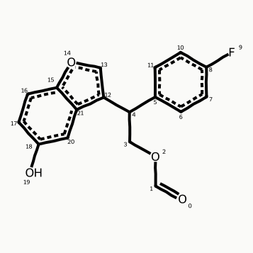 O=COCC(c1ccc(F)cc1)c1coc2ccc(O)cc12